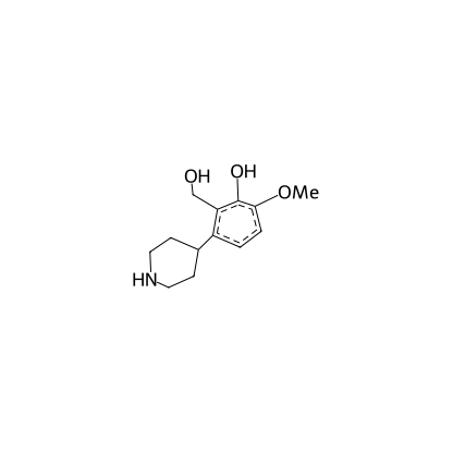 COc1ccc(C2CCNCC2)c(CO)c1O